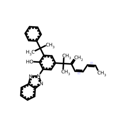 C=C(/C=C\C=C/C)C(C)(C)c1cc(-n2nc3ccccc3n2)c(O)c(C(C)(C)c2ccccc2)c1